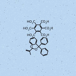 C=C(C)C(=O)OC(c1ccccc1)(c1ccccc1)c1ccccc1.O=C(O)c1c(C(=O)O)c(C(=O)O)c(C(=O)O)c(C(=O)O)c1C(=O)O